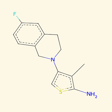 Cc1c(N2CCc3cc(F)ccc3C2)csc1N